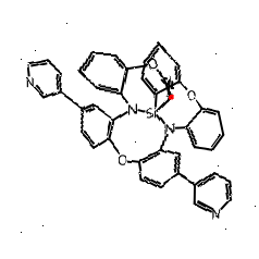 c1cncc(-c2ccc3c(c2)N2c4ccccc4Oc4ccccc4[Si]24c2ccccc2Oc2ccccc2N4c2cc(-c4cccnc4)ccc2O3)c1